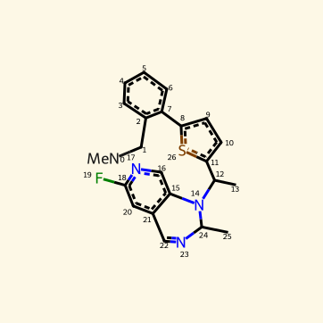 CNCc1ccccc1-c1ccc(C(C)N2c3cnc(F)cc3C=NC2C)s1